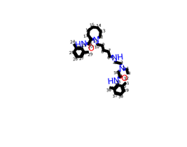 CCN(CCNCCCCCN1CCCCCCC1C(=O)Nc1c(C)cccc1C)CC(=O)Nc1c(C)cccc1C